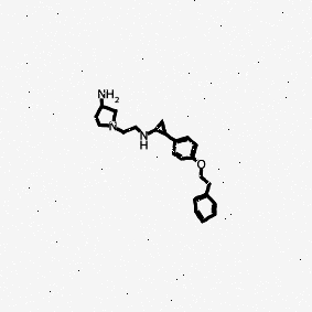 NC1CCN(CCNC2CC2c2ccc(OCCc3ccccc3)cc2)C1